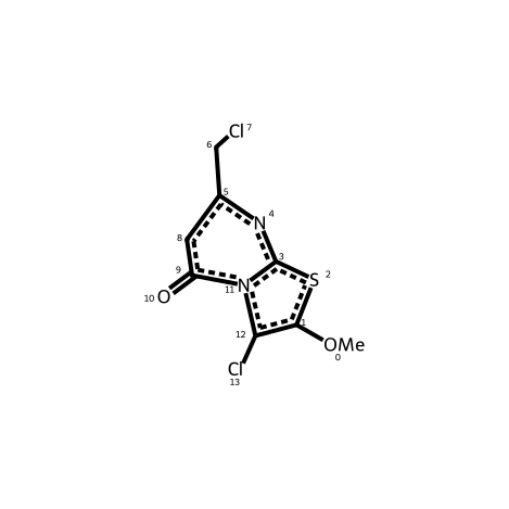 COc1sc2nc(CCl)cc(=O)n2c1Cl